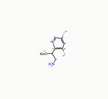 COC(CN)c1ncc(F)cc1F